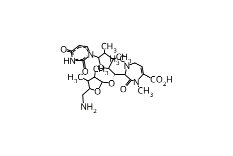 CC1C(CN)OC(O[C@H](C2OC(n3ccc(=O)[nH]c3=O)C(C)C2C)C2C(=O)N(C)C(C(=O)O)=CCN2C)C1C